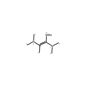 CNC(=C(C)N(C)C)N(C)C